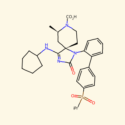 CC(C)S(=O)(=O)c1ccc(-c2ccccc2N2C(=O)N=C(NC3CCCCC3)[C@@]23CCN(C(=O)O)[C@H](C)C3)cc1